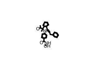 CC(=O)C(C)(Nc1ccc(C(=O)NO)cc1)c1ccccc1C#CCc1ccccc1